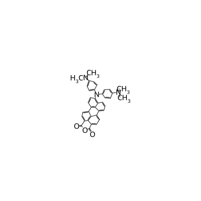 CN(C)c1ccc(N(c2ccc(N(C)C)cc2)c2ccc3c4ccc5c6c(ccc(c7cccc2c73)c64)C(=O)OC5=O)cc1